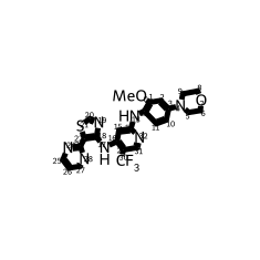 COc1cc(N2CCOCC2)ccc1Nc1cc(Nc2ncsc2-c2ncccn2)c(C(F)(F)F)cn1